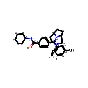 C=CCN1CCC2CCC(C1)N2C(C1=CCC(C(=O)NC2CCCCC2)C=C1)c1cccc(C)c1